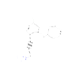 NCC#Cc1ccc(Cl)cc1Cc1ccccc1